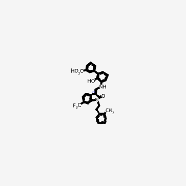 Cc1ccccc1CCN1C(=O)/C(=C\Nc2cccc(-c3cccc(C(=O)O)c3)c2O)c2ccc(C(F)(F)F)cc21